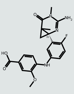 COc1cc(C(=O)O)ccc1Nc1ccc(F)c([C@]23CC2(C)C(=O)N(C)C(N)=N3)c1